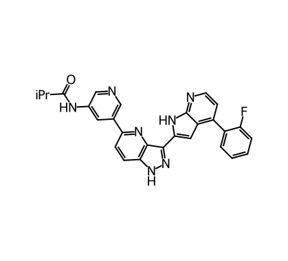 CC(C)C(=O)Nc1cncc(-c2ccc3[nH]nc(-c4cc5c(-c6ccccc6F)ccnc5[nH]4)c3n2)c1